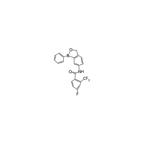 O=C(Nc1ccc2c(c1)B(c1ccccc1)OC2)c1ccc(F)cc1C(F)(F)F